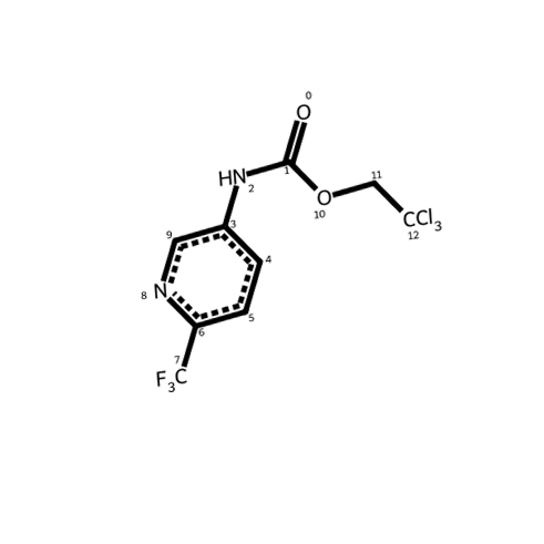 O=C(Nc1ccc(C(F)(F)F)nc1)OCC(Cl)(Cl)Cl